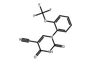 N#Cc1cn(-c2ccccc2OC(F)(F)F)c(=O)[nH]c1=O